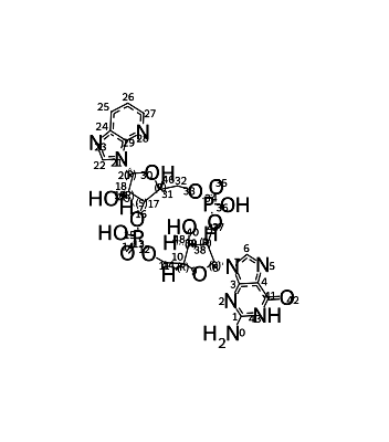 Nc1nc2c(ncn2[C@@H]2O[C@@H]3COP(=O)(O)O[C@H]4[C@@H](O)[C@H](n5cnc6cccnc65)O[C@@H]4COP(=O)(O)O[C@@H]2[C@@H]3O)c(=O)[nH]1